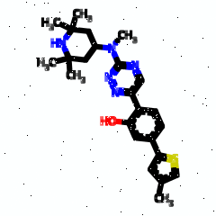 Cc1csc(-c2ccc(-c3cnc(N(C)C4CC(C)(C)NC(C)(C)C4)nn3)c(O)c2)c1